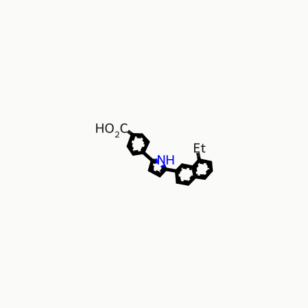 CCc1cccc2ccc(-c3ccc(-c4ccc(C(=O)O)cc4)[nH]3)cc12